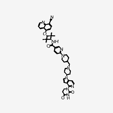 CC1(C)[C@H](NC(=O)c2ccc(N3CCC(CN4CCC(n5ccc6c(N7CCC(=O)NC7=O)nccc65)CC4)CC3)nc2)C(C)(C)[C@H]1Oc1ccc(C#N)c2ncccc12